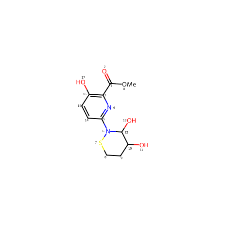 COC(=O)c1nc(N2SCCC(O)C2O)ccc1O